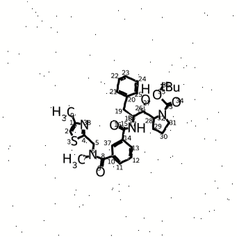 Cc1csc(CN(C)C(=O)c2cccc(C(=O)N[C@@H](Cc3ccccc3)[C@H](O)C3CCCN3C(=O)OC(C)(C)C)c2)n1